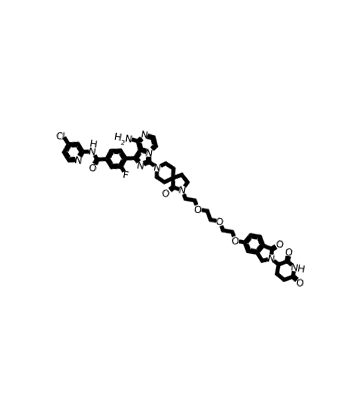 Nc1nccn2c(N3CCC4(CCN(CCOCCOCCOc5ccc6c(c5)CN(C5CCC(=O)NC5=O)C6=O)C4=O)CC3)nc(-c3ccc(C(=O)Nc4cc(Cl)ccn4)cc3F)c12